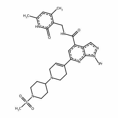 Cc1cc(C)c(CNC(=O)c2cc(C3=CCN(C4CCN(S(C)(=O)=O)CC4)CC3)nc3c2cnn3C(C)C)c(=O)[nH]1